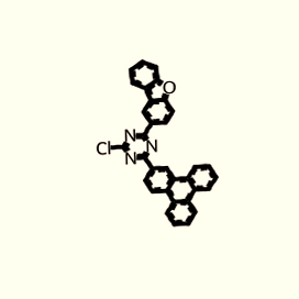 Clc1nc(-c2ccc3oc4ccccc4c3c2)nc(-c2ccc3c4ccccc4c4ccccc4c3c2)n1